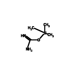 C[Si](C)(C)OC(=N)N